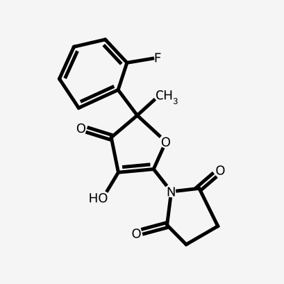 CC1(c2ccccc2F)OC(N2C(=O)CCC2=O)=C(O)C1=O